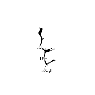 C=CCOC(=O)N[C@H](C)C(=O)O